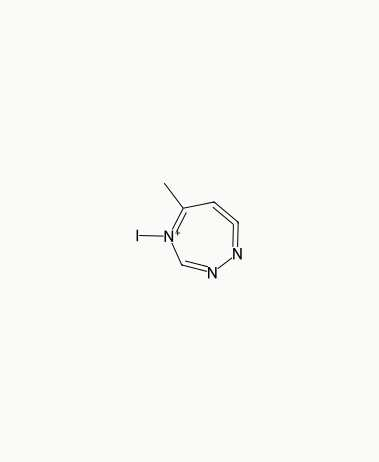 CC1=[N+](I)C=NN=C=C1